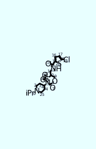 CC(C)N1CCC(N2C(=O)OCC(CNC(=O)c3ccc(Cl)s3)S2(=O)=O)CC1